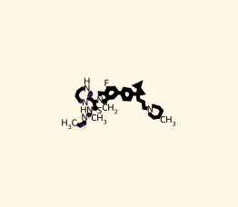 C=C1c2cc(-c3ccc(C4(CCCN5CCCC(C)CC5)CC45CC5)cc3)cc(F)c2CN1C(C(=S)N/C(C)=N/C=C\C)C1=C/NCCC/C=N\1